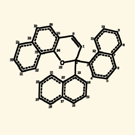 C1=CC(c2cccc3ccccc23)(c2cccc3ccccc23)Oc2c1ccc1ccccc21